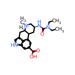 CCN(CC)C(=O)N[C@H]1CC2c3cc(C(=O)O)cc4[nH]cc(c34)C[C@H]2N(C)C1